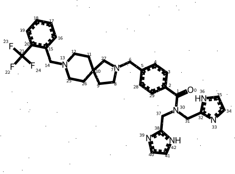 O=C(c1ccc(CN2CCC3(CCN(Cc4ccccc4C(F)(F)F)CC3)C2)cc1)N(Cc1ncc[nH]1)Cc1ncc[nH]1